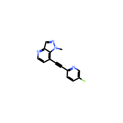 Cn1ncc2nccc(C#Cc3ccc(F)cn3)c21